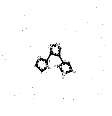 [c]1nsc(-c2nccs2)c1-c1ccon1